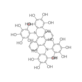 Oc1c(O)c(O)c(N(c2c(O)c(O)c(O)c(O)c2O)c2c3ccccc3c(N(c3c(O)c(O)c(O)c(O)c3O)c3c(O)c(O)c(O)c(O)c3O)c3ccccc23)c(O)c1O